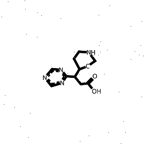 O=C(O)CC(c1ncncn1)C1CCNCC1